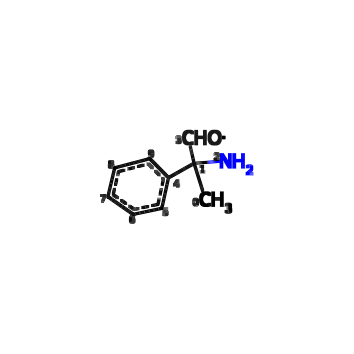 CC(N)([C]=O)c1ccccc1